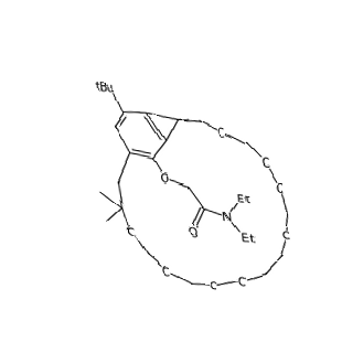 CCN(CC)C(=O)COc1c2cc(C(C)(C)C)c3c1C3(C)CCCCCCCCCCCCCCCC(C)(C)C2